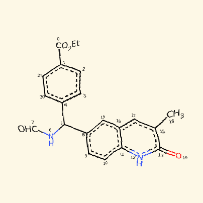 CCOC(=O)c1ccc(C(NC=O)c2ccc3[nH]c(=O)c(C)cc3c2)cc1